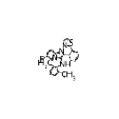 Cc1cccc(C)c1Nc1c(C2CC=CC=C2c2nccs2)nc2ccc(F)cn12